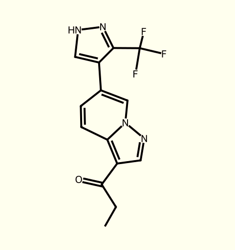 CCC(=O)c1cnn2cc(-c3c[nH]nc3C(F)(F)F)ccc12